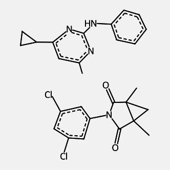 CC12CC1(C)C(=O)N(c1cc(Cl)cc(Cl)c1)C2=O.Cc1cc(C2CC2)nc(Nc2ccccc2)n1